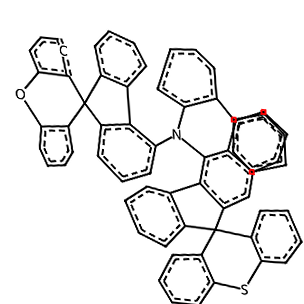 c1ccc(-c2ccccc2N(c2cccc3c2-c2ccccc2C32c3ccccc3Oc3ccccc32)c2c3c(cc4ccccc24)C2(c4ccccc4Sc4ccccc42)c2ccccc2-3)cc1